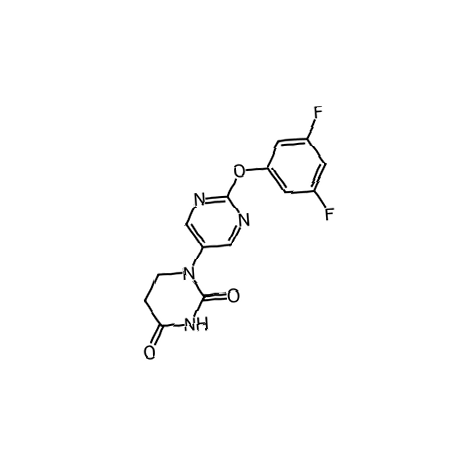 O=C1CCN(c2cnc(Oc3cc(F)cc(F)c3)nc2)C(=O)N1